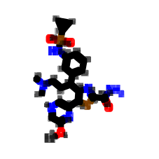 CCOc1cncc(-c2sc(C(N)=O)nc2C(CCN(C)C)c2cccc(NS(=O)(=O)C3CC3)c2)n1